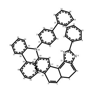 C1=CC2CC=c3nc(-c4ccccc4)sc3=C2c2cc(N(c3ccc(-c4ccccc4)cc3)c3ccccc3-c3ccccc3)ccc21